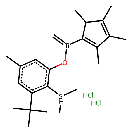 Cl.Cl.[CH2]=[Ti]([O]c1cc(C)cc(C(C)(C)C)c1[SiH](C)C)[C]1=C(C)C(C)=C(C)C1C